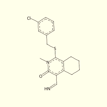 Cn1c(SCc2cccc(Cl)c2)c2c(c(C=N)c1=O)CCCC2